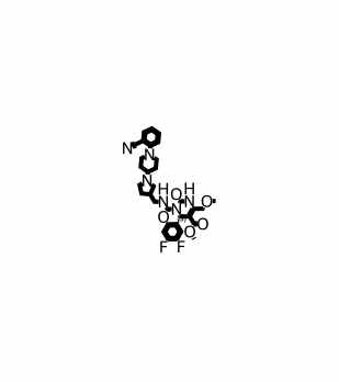 COCC1=C(C(=O)OC)[C@H](c2ccc(F)c(F)c2)N(C(=O)NCC2CCN(C3CCN(c4ccccc4C#N)CC3)C2)C(=O)N1